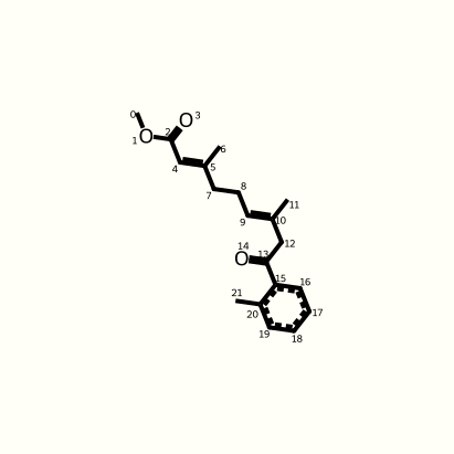 COC(=O)/C=C(\C)CCC=C(C)CC(=O)c1ccccc1C